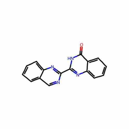 O=c1[nH]c(-c2ncc3ccccc3n2)nc2ccccc12